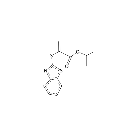 C=C(Sc1nc2ccccc2s1)C(=O)OC(C)C